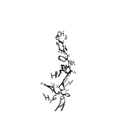 COc1cnc(CC(=O)Nc2cc(C3CCC(N(C(=O)O)[C@H](C)C4CC4)C3)[nH]n2)cn1